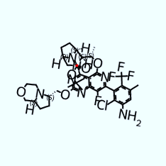 Cc1cc(N)c(Cl)c(-c2nc3c4c(nc(OC[C@@H]5CC[C@H]6COCCN65)nc4c2F)N2C[C@H]4CC[C@@H]([C@H]2[C@H](C)O3)N4C(=O)OC(C)(C)C)c1C(F)(F)F